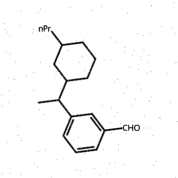 CCCC1CCCC(C(C)c2cccc(C=O)c2)C1